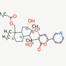 CC(=O)OCC1(C)C2C[C@H](O)[C@@]3(C)Oc4cc(-c5cccnc5)oc(=O)c4C(O)C3[C@@]2(C)CC[C@@H]1C